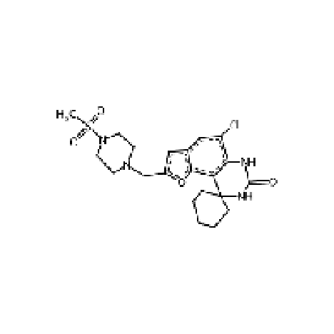 CS(=O)(=O)N1CCN(Cc2cc3cc(Cl)c4c(c3o2)C2(CCCCC2)NC(=O)N4)CC1